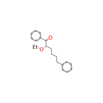 CCOC(CCCCc1ccccc1)C(=O)c1ccccc1